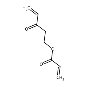 C=CC(=O)CCOC(=O)C=C